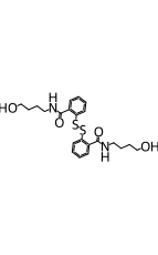 O=C(NCCCCO)c1ccccc1SSc1ccccc1C(=O)NCCCCO